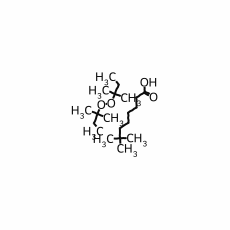 CC(C)(C)CCCCCC(=O)O.CCC(C)(C)OOC(C)(C)CC